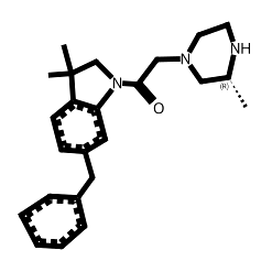 C[C@@H]1CN(CC(=O)N2CC(C)(C)c3ccc(Cc4ccccc4)cc32)CCN1